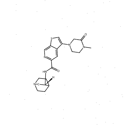 CN1CCN(c2csc3cnc(C(=O)N[C@H]4CN5CCC4CC5)cc23)CC1=O